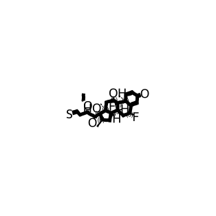 CCOC(CC=S)C(=O)[C@@]1(O)[C@H](C)C[C@H]2[C@@H]3C[C@H](F)C4=CC(=O)C=C[C@]4(C)[C@@]3(F)[C@@H](O)C[C@@]21C